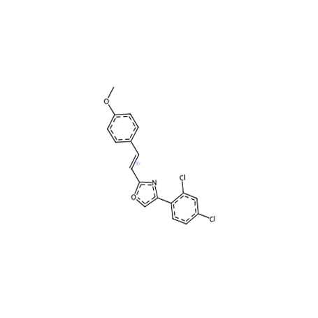 COc1ccc(/C=C/c2nc(-c3ccc(Cl)cc3Cl)co2)cc1